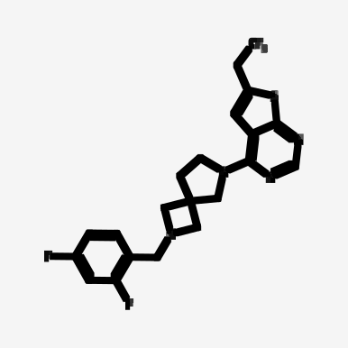 Fc1ccc(CN2CC3(CCN(c4ncnc5sc(CC(F)(F)F)cc45)C3)C2)c(F)c1